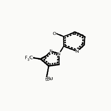 CC(C)(C)c1cn(-c2ncccc2Cl)nc1C(F)(F)F